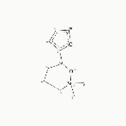 C[Si]1(C)CCCC(c2ccco2)O1